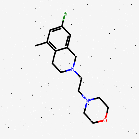 Cc1cc(Br)cc2c1CCN(CCN1CCOCC1)C2